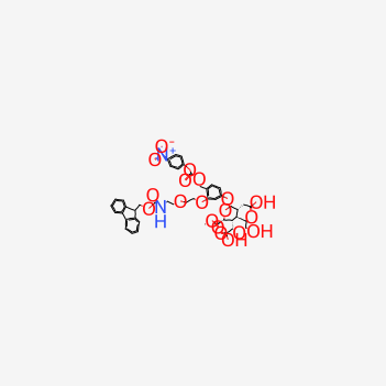 COC(=O)[C@H]1O[C@@H](Oc2ccc(COC(=O)Oc3ccc([N+](=O)[O-])cc3)c(OCCOCCNC(=O)OCC3c4ccccc4-c4ccccc43)c2)[C@H](CC(=O)O)[C@@H](CC(=O)O)[C@@H]1CC(=O)O